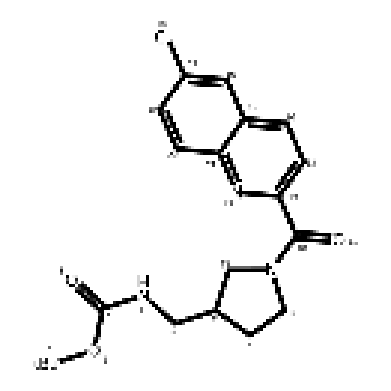 CC(C)(C)OC(=O)NCC1CCN(C(=O)c2ccc3cc(Cl)ccc3n2)C1